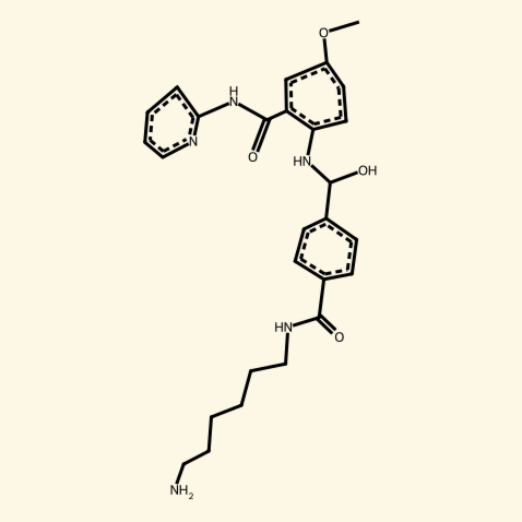 COc1ccc(NC(O)c2ccc(C(=O)NCCCCCCN)cc2)c(C(=O)Nc2ccccn2)c1